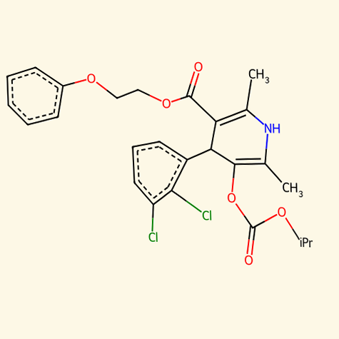 CC1=C(OC(=O)OC(C)C)C(c2cccc(Cl)c2Cl)C(C(=O)OCCOc2ccccc2)=C(C)N1